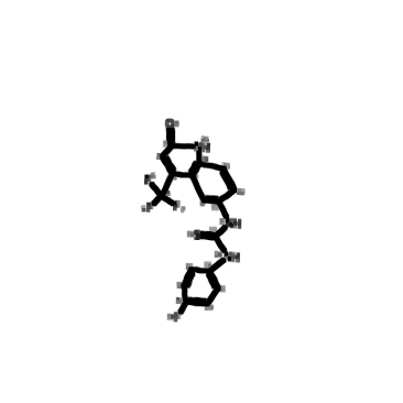 O=c1cc(C(F)(F)F)c2cc(NC(=S)Nc3ccc(F)cc3)ccc2[nH]1